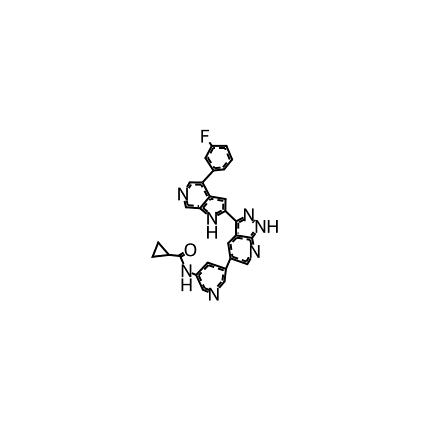 O=C(Nc1cncc(-c2cnc3[nH]nc(-c4cc5c(-c6cccc(F)c6)cncc5[nH]4)c3c2)c1)C1CC1